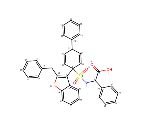 O=C(O)C(NS(=O)(=O)C1(c2c(Cc3ccccc3)oc3ccccc23)C=CC(c2ccccc2)C=C1)c1ccccc1